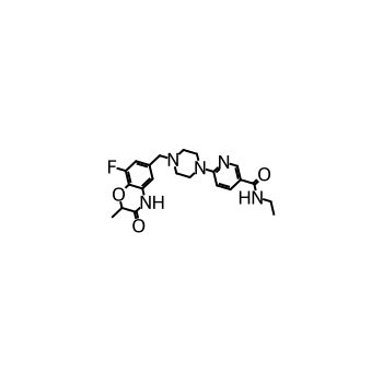 CCNC(=O)c1ccc(N2CCN(Cc3cc(F)c4c(c3)NC(=O)C(C)O4)CC2)nc1